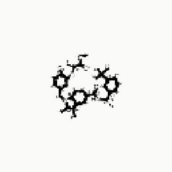 COC(=O)[C@H](C)Oc1cc(Cn2c(C)c(C)c3cc(C(=O)N[C@@H](C)c4cccc(C(C)(C)C)c4)ccc32)ccc1Cl